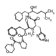 CC(C)CCC(O)C(CC1CCCCC1)NC(=O)[C@H](Cc1c[nH]cn1)N(C)C(=O)C(Cc1ccccc1)OC(=O)N1CCCN1C(=O)N1CCOCC1